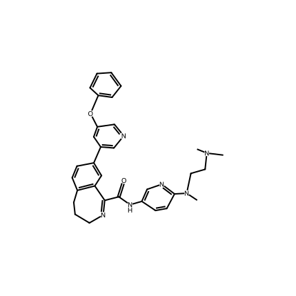 CN(C)CCN(C)c1ccc(NC(=O)C2=NCCCc3ccc(-c4cncc(Oc5ccccc5)c4)cc32)cn1